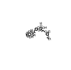 CCN(C)Cc1ccc(OCC=C(C)[C@H]2O[C@@H](Oc3ccc(C=C(C)C(=O)N[C@@H]4[C@H](O)[C@@H](O)[C@H]5OCO[C@H]5[C@@H]4O)cc3O)[C@@H](O)[C@@H]2O)c(Cl)c1